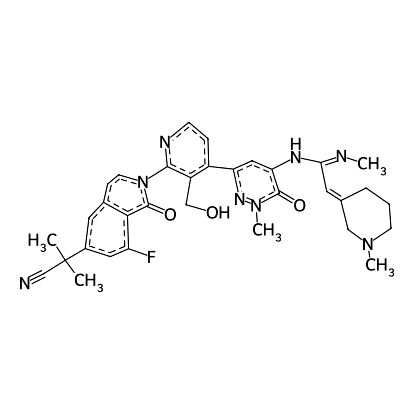 C/N=C(\C=C1/CCCN(C)C1)Nc1cc(-c2ccnc(-n3ccc4cc(C(C)(C)C#N)cc(F)c4c3=O)c2CO)nn(C)c1=O